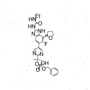 CCNC(=O)Nc1nc2cc(-c3cnc(C(C)(C)OP(=O)(O)OCc4ccccc4)nc3)c(F)c([C@H]3CCCO3)c2[nH]1